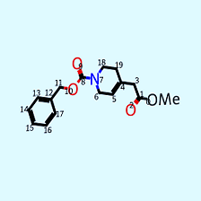 COC(=O)CC1=CCN(C(=O)OCc2ccccc2)CC1